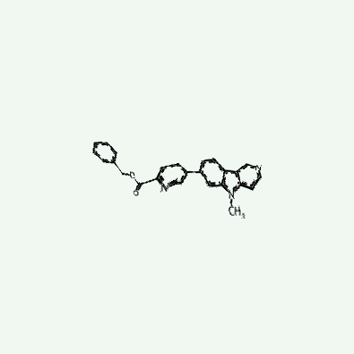 Cn1c2ccncc2c2ccc(-c3ccc(C(=O)OCc4ccccc4)nc3)cc21